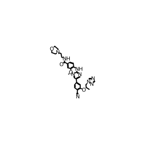 COc1cc(C(=O)NCCN2CCOCC2)ccc1Nc1ncc(-c2ccc(C#N)c(OC(C)Cn3cncn3)c2)cn1